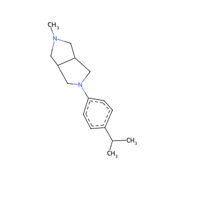 CC(C)c1ccc(N2CC3CN(C)CC3C2)cc1